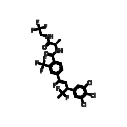 C[C@@H](NC(=O)c1ccc(/C(F)=C/C(c2cc(Cl)c(Cl)c(Cl)c2)C(C)(F)F)cc1C(F)(F)F)C(=O)NCC(F)(F)F